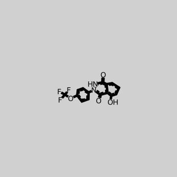 O=c1[nH]n(-c2ccc(OC(F)(F)F)cc2)c(=O)c2c(O)cccc12